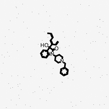 C=C/C(=C\C=C/C)C(O)(C(=O)NC1CCN(Cc2ccccc2)CC1)c1ccccc1